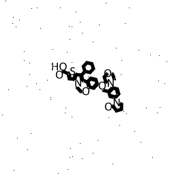 O=C(O)c1cc2c(s1)c(C1CCCCC1)c1n2CCOc2cc(OCc3cc(N4CCCC4=O)ccc3N3CCOCC3)ccc2-1